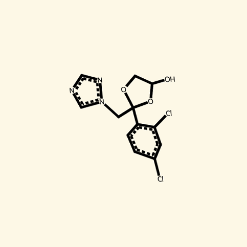 OC1COC(Cn2cncn2)(c2ccc(Cl)cc2Cl)O1